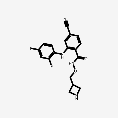 N#Cc1ccc(C(=O)NOCC2CNC2)c(Nc2ccc(I)cc2F)c1